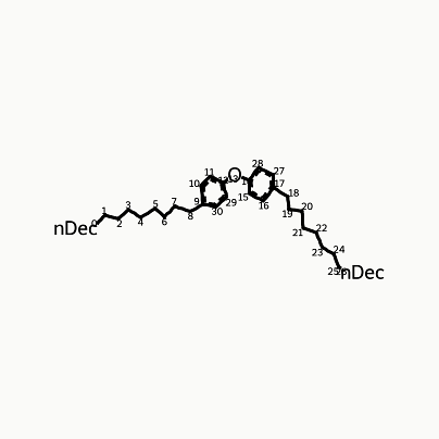 CCCCCCCCCCCCCCCCCCc1ccc(Oc2ccc(CCCCCCCCCCCCCCCCCC)cc2)cc1